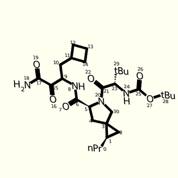 CCC[C@@H]1CC12C[C@@H](C(=O)NC(CC1CCC1)C(=O)C(N)=O)N(C(=O)[C@@H](NC(=O)OC(C)(C)C)C(C)(C)C)C2